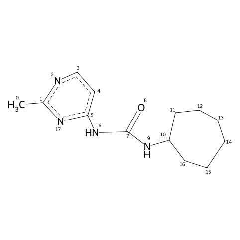 Cc1nccc(NC(=O)NC2CCCCCC2)n1